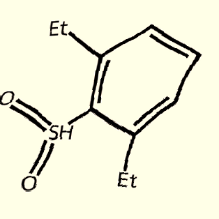 CCc1cccc(CC)c1[SH](=O)=O